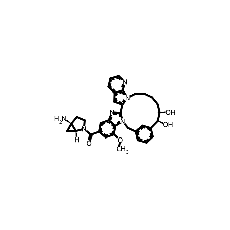 COc1cc(C(=O)N2CC[C@@]3(N)C[C@@H]23)cc2nc3n(c12)Cc1cccc(c1)[C@H](O)[C@H](O)CCCCn1c-3cc2cccnc21